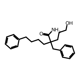 NC(=O)C(CCCO)(CCCCc1ccccc1)Cc1ccccc1